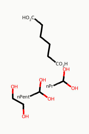 CCCC(O)O.CCCCCC(O)O.O=C(O)CCCCC(=O)O.OCCO